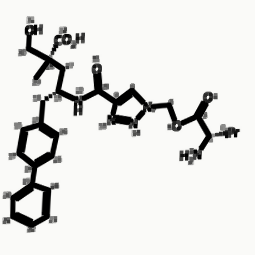 CC(C)[C@H](N)C(=O)OCn1cc(C(=O)N[C@H](Cc2ccc(-c3ccccc3)cc2)C[C@@](C)(CO)C(=O)O)nn1